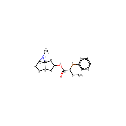 CCC(Sc1ccccc1)C(=O)OC1CC2CCC3N(C)C23C1